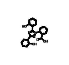 O=C(O)c1ccccc1-n1nc(-c2ccccc2O)nc1-c1ccccc1O